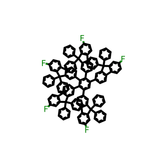 Fc1ccc2c(c1)C(c1ccccc1)(c1ccccc1)c1cc(-c3cc(-c4ccc5c(c4)C(c4ccccc4)(c4ccccc4)c4cc(F)ccc4-5)c(-c4ccc5c(c4)C(c4ccccc4)(c4ccccc4)c4cc(F)ccc4-5)c(-c4ccc5c(c4)C(c4ccccc4)(c4ccccc4)c4cc(F)ccc4-5)c3-c3ccc4c(c3)C(c3ccccc3)(c3ccccc3)c3cc(F)ccc3-4)ccc1-2